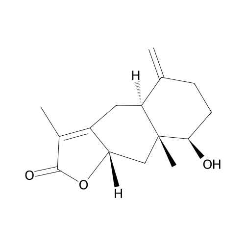 C=C1CC[C@@H](O)[C@]2(C)C[C@@H]3OC(=O)C(C)=C3C[C@@H]12